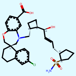 NS(=O)(=O)[C@@H]1CCC[C@H]1C/C=C/[C@H](O)[C@@H]1CC[C@H]1CN1C[C@@]2(CCCc3cc(Cl)ccc32)COc2ccc(C(=O)O)cc21